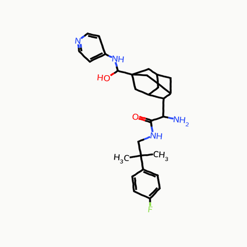 CC(C)(CNC(=O)C(N)C1C2CC3CC1CC(C(O)Nc1ccncc1)(C3)C2)c1ccc(F)cc1